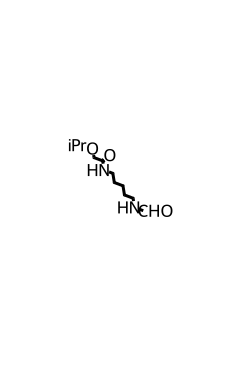 CC(C)OCC(=O)NCCCCCNC=O